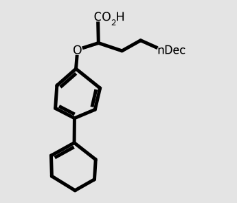 CCCCCCCCCCCCC(Oc1ccc(C2=CCCCC2)cc1)C(=O)O